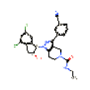 CCNC(=O)N1CCc2c(c(-c3cccc(C#N)c3)nn2[C@@H]2c3cc(Cl)cc(Cl)c3C[C@@H]2O)C1